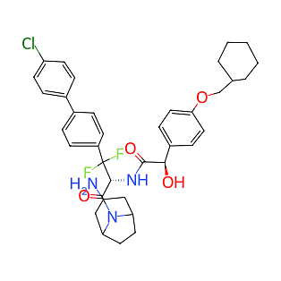 NC1CC2CCC(C1)N2C(=O)[C@@H](NC(=O)[C@H](O)c1ccc(OCC2CCCCC2)cc1)C(F)(F)c1ccc(-c2ccc(Cl)cc2)cc1